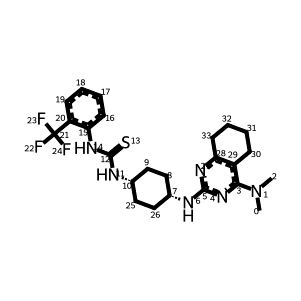 CN(C)c1nc(N[C@H]2CC[C@@H](NC(=S)Nc3ccccc3C(F)(F)F)CC2)nc2c1CCCC2